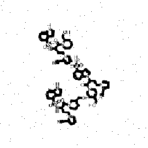 N#Cc1cccn1CCC(C(=O)N1CCC(CO)CC1)n1ccc2c(S(N)(=O)=O)cccc21.N#Cc1cccn1CCC(NS(=O)(=O)c1cccc2[nH]ccc12)C(=O)N1CCCC(CO)C1.N#Cc1cccn1CCC(NS(=O)(=O)c1cccc2[nH]ccc12)C(=O)N1CCCCC1CO